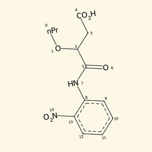 CCCOC(CC(=O)O)C(=O)Nc1ccccc1[N+](=O)[O-]